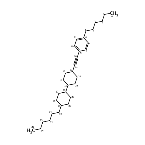 CCCCCCc1ccc(C#CC2CCC(C3CCC(CCCCCC)CC3)CC2)cc1